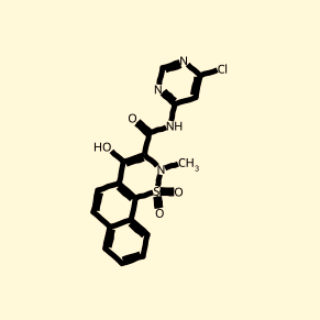 CN1C(C(=O)Nc2cc(Cl)ncn2)=C(O)c2ccc3ccccc3c2S1(=O)=O